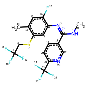 CN/C(=N/c1cc(SCC(F)(F)F)c(C)cc1F)c1ccc(C(F)(F)F)nc1